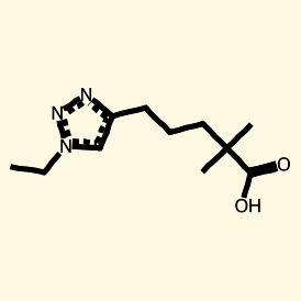 CCn1cc(CCCC(C)(C)C(=O)O)nn1